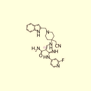 N#CCC1(N/C=C(\C(=N)Nc2ccnc(F)c2)C(N)=O)CCN(Cc2cc3ccccc3[nH]2)CC1